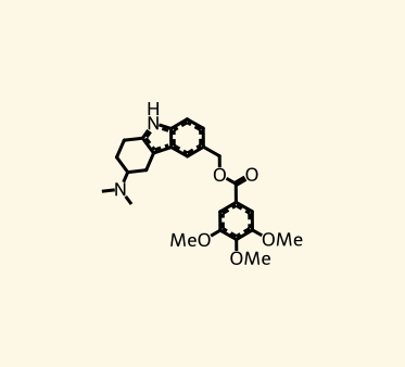 COc1cc(C(=O)OCc2ccc3[nH]c4c(c3c2)CC(N(C)C)CC4)cc(OC)c1OC